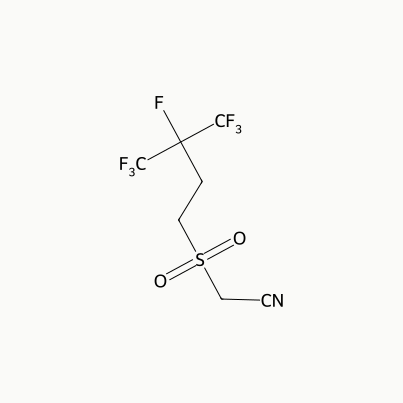 N#CCS(=O)(=O)CCC(F)(C(F)(F)F)C(F)(F)F